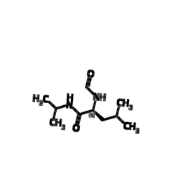 CC(C)C[C@H](NC=O)C(=O)NC(C)C